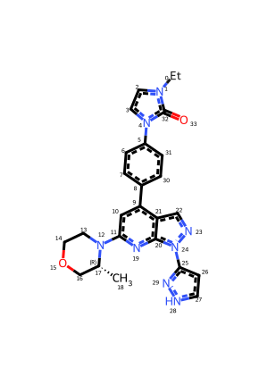 CCn1ccn(-c2ccc(-c3cc(N4CCOC[C@H]4C)nc4c3cnn4-c3cc[nH]n3)cc2)c1=O